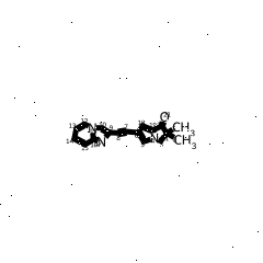 CC1(C)Cn2cc(C#Cc3cn4ccccc4n3)cc2C1=O